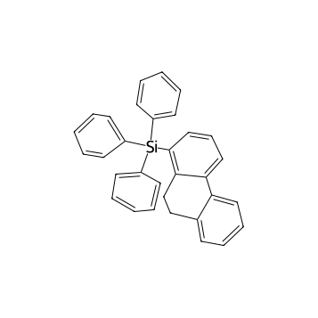 c1ccc([Si](c2ccccc2)(c2ccccc2)c2cccc3c2CCc2ccccc2-3)cc1